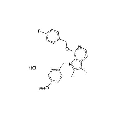 COc1ccc(Cn2c(C)c(C)c3ccnc(OCc4ccc(F)cc4)c32)cc1.Cl